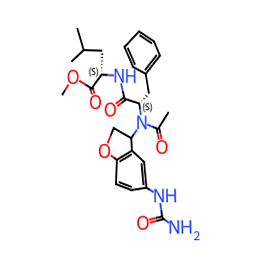 COC(=O)[C@H](CC(C)C)NC(=O)[C@H](Cc1ccccc1)N(C(C)=O)C1COc2ccc(NC(N)=O)cc21